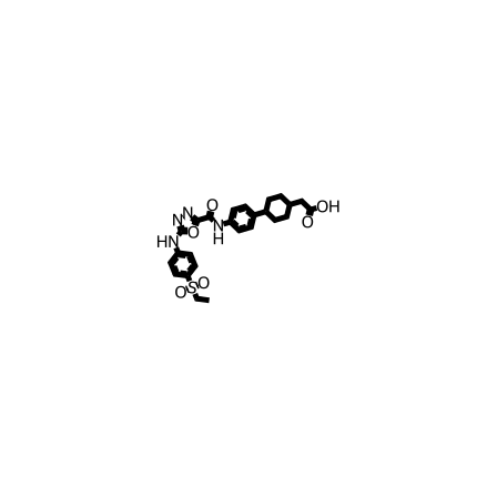 CCS(=O)(=O)c1ccc(Nc2nnc(C(=O)Nc3ccc(C4CCC(CC(=O)O)CC4)cc3)o2)cc1